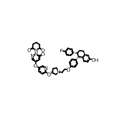 O=C1CCCC(=O)N1n1ncc(Oc2ccc(O[C@@H]3CCN(CCOc4ccc([C@H]5c6ccc(O)cc6CC[C@H]5c5ccc(F)cc5)cc4)C3)nc2)cc1=O